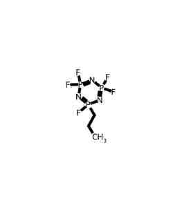 CCCP1(F)=NP(F)(F)=NP(F)(F)=N1